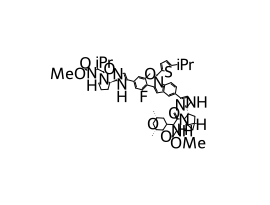 COC(=O)N[C@H](C(=O)N1CCC[C@@H]1c1ncc(-c2cc(F)c3c(c2)OC(c2ccc(C(C)C)s2)n2c-3cc3cc(-c4c[nH]c([C@@H]5C[C@@H]6C[C@@H]6N5C(=O)[C@H](NC(=O)OC)C5C[C@@H](C)O[C@@H](C)C5)n4)ccc32)[nH]1)C(C)C